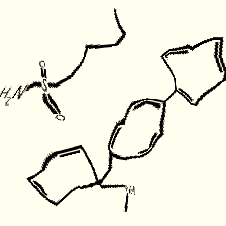 CCCCS(N)(=O)=O.CNC1(c2ccc(-c3ccccc3)cc2)C=CC=CC1